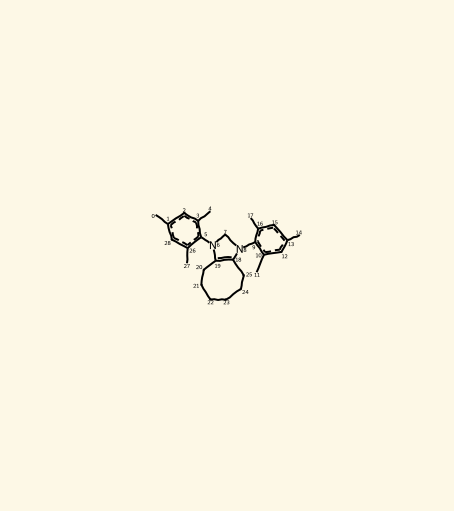 Cc1cc(C)c(N2CN(c3c(C)cc(C)cc3C)C3=C2CCCCCC3)c(C)c1